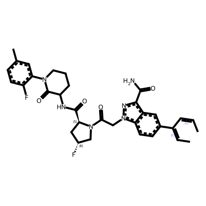 C/C=C\C(=C/C)c1ccc2c(c1)c(C(N)=O)nn2CC(=O)N1C[C@H](F)C[C@H]1C(=O)NC1CCCN(c2cc(C)ccc2F)C1=O